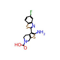 Nc1sc2c(c1-c1nc3cc(F)ccc3s1)CCN(C(=O)O)C2